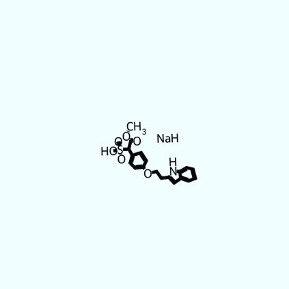 COC(=O)C(c1ccc(OCCc2cc3ccccc3[nH]2)cc1)S(=O)(=O)O.[NaH]